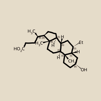 CC[C@H]1C[C@@H]2[C@H](CC[C@]3(C)[C@@H]([C@H](C)CCC(=O)O)CC[C@@H]23)[C@@]2(C)CC[C@@H](O)C[C@@H]12